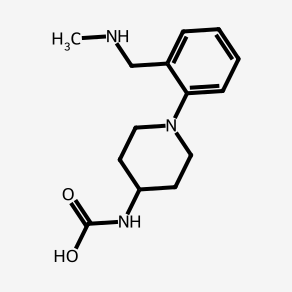 CNCc1ccccc1N1CCC(NC(=O)O)CC1